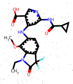 CCN1C(=O)C(F)(F)c2ccc(Nc3cc(NC(=O)C4CC4)ncc3C(=O)O)c(OC)c21